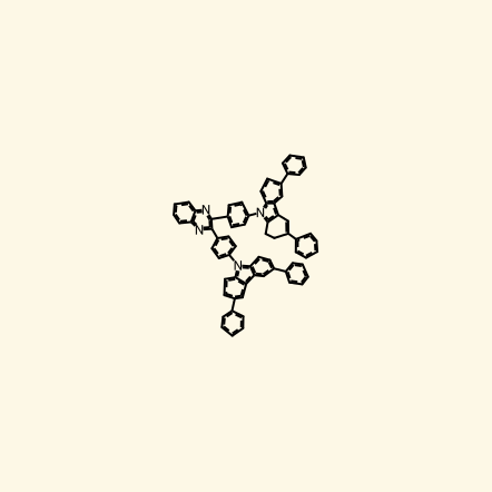 C1=C(c2ccccc2)CCc2c1c1cc(-c3ccccc3)ccc1n2-c1ccc(-c2nc3ccccc3nc2-c2ccc(-n3c4ccc(-c5ccccc5)cc4c4cc(-c5ccccc5)ccc43)cc2)cc1